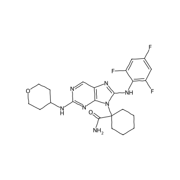 NC(=O)C1(n2c(Nc3c(F)cc(F)cc3F)nc3cnc(NC4CCOCC4)nc32)CCCCC1